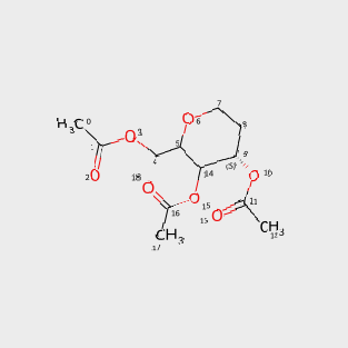 CC(=O)OCC1OCC[C@H](OC(C)=O)C1OC(C)=O